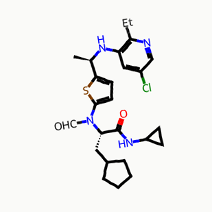 CCc1ncc(Cl)cc1N[C@H](C)c1ccc(N(C=O)[C@@H](CC2CCCC2)C(=O)NC2CC2)s1